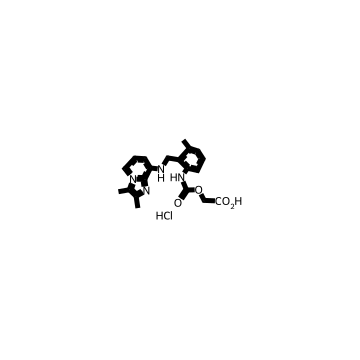 Cc1cccc(NC(=O)OCC(=O)O)c1CNc1cccn2c(C)c(C)nc12.Cl